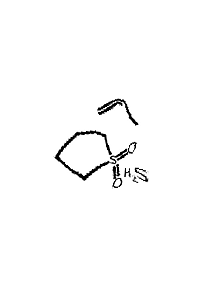 C=CC.O=S1(=O)CCCC1.S